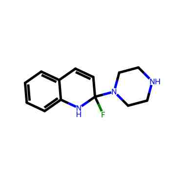 FC1(N2CCNCC2)C=Cc2ccccc2N1